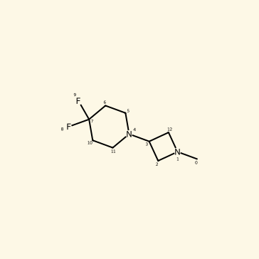 CN1CC(N2CCC(F)(F)CC2)C1